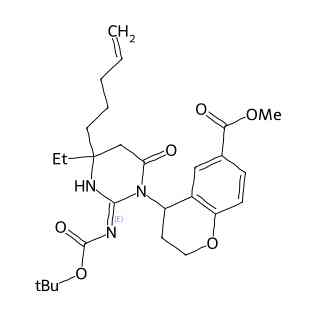 C=CCCCC1(CC)CC(=O)N(C2CCOc3ccc(C(=O)OC)cc32)/C(=N/C(=O)OC(C)(C)C)N1